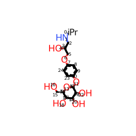 CC(C)NC[C@H](O)COc1ccc(O[C@@H]2O[C@H](CO)[C@@H](O)[C@H](O)[C@H]2O)cc1